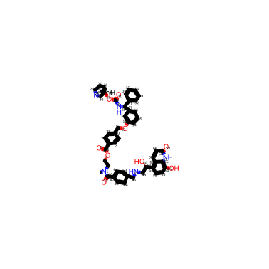 CN(CCOC(=O)c1ccc(COc2cccc(C(NC(=O)O[C@H]3CN4CCC3CC4)c3ccccc3)c2)cc1)C(=O)c1ccc(CNC[C@H](O)c2ccc(O)c3[nH]c(=O)ccc23)cc1